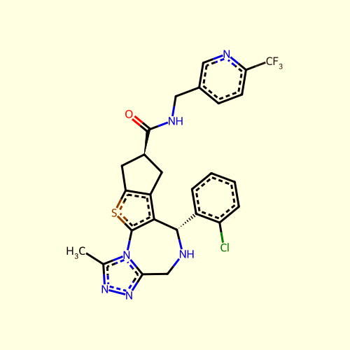 Cc1nnc2n1-c1sc3c(c1[C@H](c1ccccc1Cl)NC2)C[C@H](C(=O)NCc1ccc(C(F)(F)F)nc1)C3